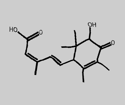 CC1=C(C)C(/C=C/C(C)=C\C(=O)O)C(C)(C)C(O)C1=O